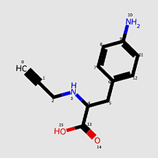 C#CCNC(Cc1ccc(N)cc1)C(=O)O